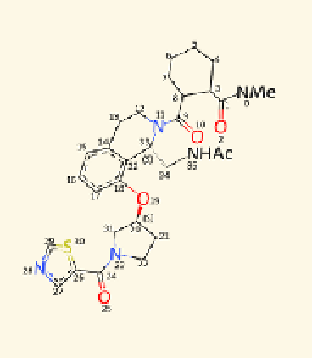 CNC(=O)C1CCCCC1C(=O)N1CCc2cccc(O[C@H]3CCN(C(=O)c4cncs4)C3)c2[C@H]1CNC(C)=O